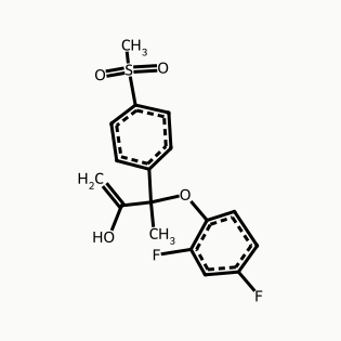 C=C(O)C(C)(Oc1ccc(F)cc1F)c1ccc(S(C)(=O)=O)cc1